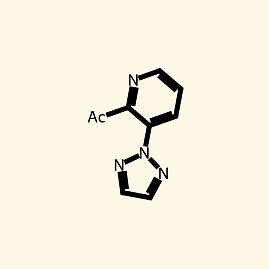 CC(=O)c1ncccc1-n1nccn1